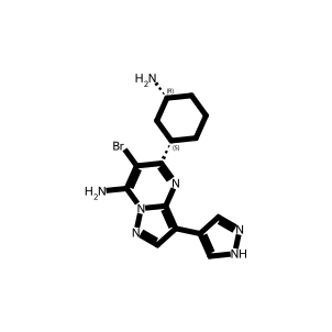 Nc1c(Br)c([C@H]2CCC[C@@H](N)C2)nc2c(-c3cn[nH]c3)cnn12